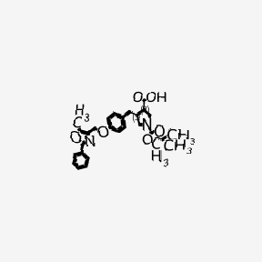 Cc1oc(-c2ccccc2)nc1COc1ccc(C[C@@H]2CN(C(=O)OC(C)(C)C)C[C@@H]2C(=O)O)cc1